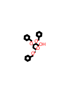 O[C@H]1O[C@H](COCc2ccccc2)C[C@H](OCc2ccccc2)[C@H]1OCc1ccccc1